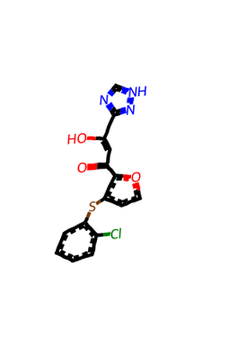 O=C(C=C(O)c1nc[nH]n1)c1occc1Sc1ccccc1Cl